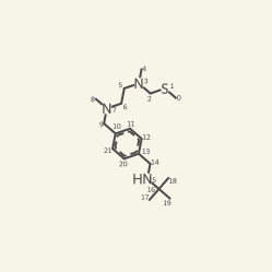 CSCN(C)CCN(C)Cc1ccc(CNC(C)(C)C)cc1